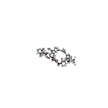 CCO[C@@H]1C2=NC(CS2)c2ccc3c(c2)c(c(-c2cc(C4C[C@@H]5COC[C@@H](C4)N5C4CC4)cnc2[C@H](C)OC)n3CC)CC(C)(C)COC(=O)[C@@H]2CCCN(N2)C(=O)[C@H]1NC(=O)[C@H]1[C@H](C)[C@@H]1C